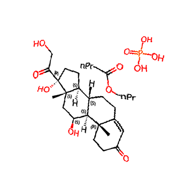 CCCOC(=O)CCC.C[C@]12CCC(=O)C=C1CC[C@@H]1[C@@H]2[C@@H](O)C[C@@]2(C)[C@H]1CC[C@]2(O)C(=O)CO.O=P(O)(O)O